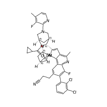 Cc1ccnc(N2C[C@@H]3C[C@H](C2)N(C(=O)C2CC2)[C@H]3c2cc3c(C)nc4c(F)c(-c5cccc(Cl)c5Cl)c(CCC#N)cc4c3n2[C@H]2[C@H]3CN[C@@H]2C3)c1F